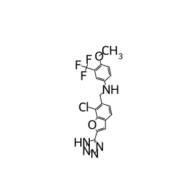 COc1ccc(NCc2ccc3cc(-c4nnn[nH]4)oc3c2Cl)cc1C(F)(F)F